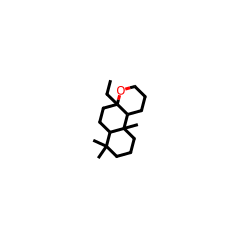 CCC12CCC3C(C)(C)CCCC3(C)C1CCCO2